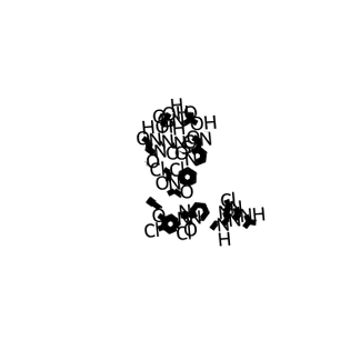 C#CCOc1cc(-n2nc3n(c2=O)CCCC3)c(Cl)cc1Cl.CC1COc2ccccc2N1C(=O)C(Cl)Cl.CCNc1nc(Cl)nc(NC(C)C)n1.COc1cc(OC)nc(NC(=O)NS(=O)(=O)c2ncccc2C(=O)N(C)C)n1.O=C(O)CNCP(=O)(O)O